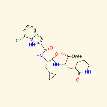 COC(=O)[C@H](C[C@@H]1CCCNC1=O)NC(=O)[C@H](CC1CC1)NC(=O)c1cc2cccc(Cl)c2[nH]1